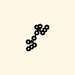 C1=CC(c2ccccc2)(N(c2ccccc2)c2cccc3cc4ccccc4cc23)CC=C1c1ccc(N(c2ccccc2)c2cccc3cc4ccccc4cc23)cc1